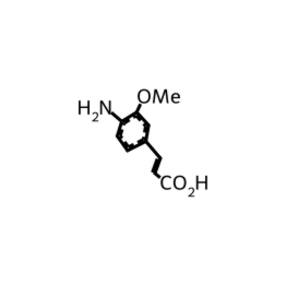 COc1cc(C=CC(=O)O)ccc1N